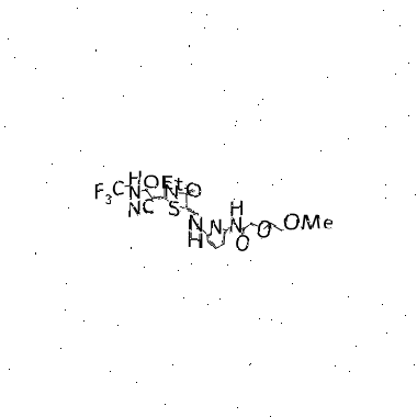 CCn1c(=C(C#N)C(=O)NCC(F)(F)F)sc(=CNc2cccc(NC(=O)COCCOC)n2)c1=O